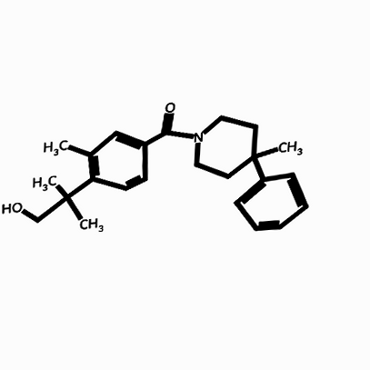 Cc1cc(C(=O)N2CCC(C)(c3ccccc3)CC2)ccc1C(C)(C)CO